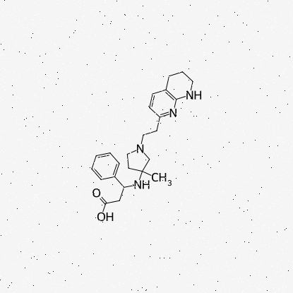 CC1(NC(CC(=O)O)c2ccccc2)CCN(CCc2ccc3c(n2)NCCC3)C1